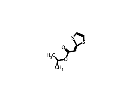 CC(C)OC(=O)[C]=C1SC=CS1